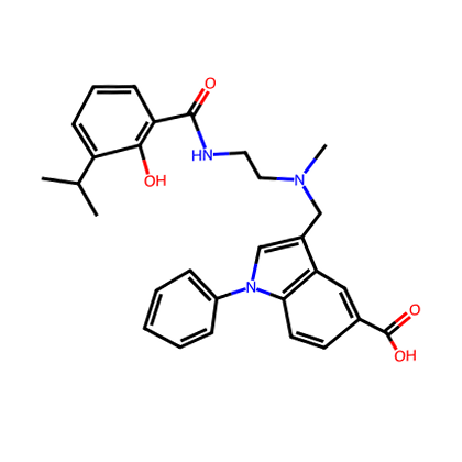 CC(C)c1cccc(C(=O)NCCN(C)Cc2cn(-c3ccccc3)c3ccc(C(=O)O)cc23)c1O